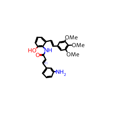 COc1cc(C=Cc2cccc(O)c2NC(=O)/C=C/c2cccc(N)c2)cc(OC)c1OC